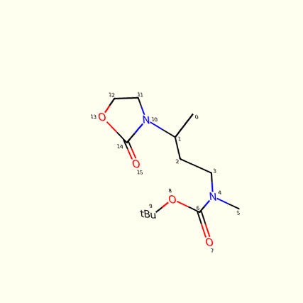 CC(CCN(C)C(=O)OC(C)(C)C)N1CCOC1=O